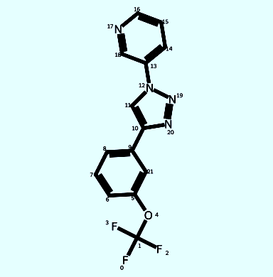 FC(F)(F)Oc1cccc(-c2cn(-c3cccnc3)nn2)c1